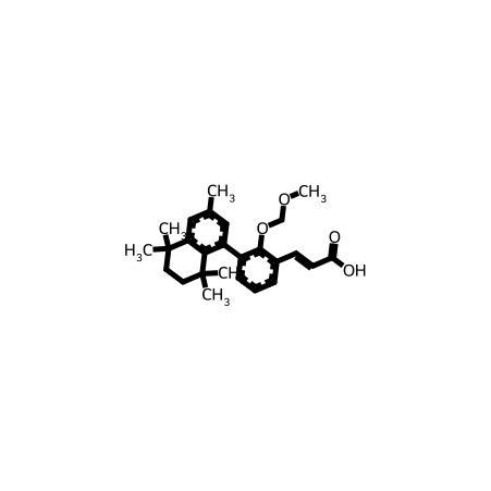 COCOc1c(C=CC(=O)O)cccc1-c1cc(C)cc2c1C(C)(C)CCC2(C)C